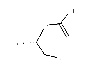 C[C@@H](CBr)OC(N)=O